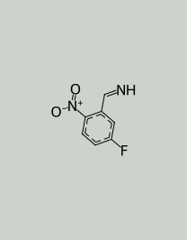 N=Cc1cc(F)ccc1[N+](=O)[O-]